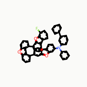 Fc1cccc2c1oc1c(-c3cccc4oc5cccc(-c6ccc7c(c6)oc6cc(N(c8ccccc8)c8cccc(-c9ccccc9)c8)ccc67)c5c34)cccc12